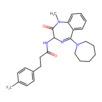 CN1C(=O)C(NC(=O)CCc2ccc(C(F)(F)F)cc2)N=C(N2CCCCCC2)c2ccccc21